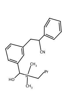 CC(C)C[Si](C)(C)C(O)c1cccc(CC(C#N)c2ccccc2)c1